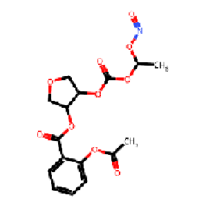 CC(=O)Oc1ccccc1C(=O)OC1COCC1OC(=O)OC(C)ON=O